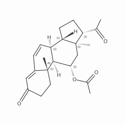 CC(=O)O[C@H]1C[C@]2(C)[C@@H](C(C)=O)CC[C@H]2[C@@H]2C=CC3=CC(=O)CC[C@@]3(C)[C@@H]21